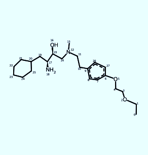 CCOCCOc1ccc(CCN(C)C[C@H](O)[C@@H](N)CC2CCCCC2)cc1